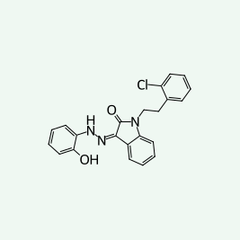 O=C1C(=NNc2ccccc2O)c2ccccc2N1CCc1ccccc1Cl